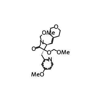 COCO[C@@]1(Cc2cc(OC)ccn2)C(=O)N(COC)[C@H]1C=C1CCOCC1